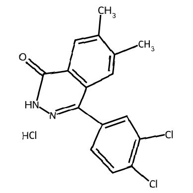 Cc1cc2c(-c3ccc(Cl)c(Cl)c3)n[nH]c(=O)c2cc1C.Cl